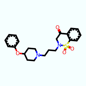 O=C1CN(CCCN2CCC(Oc3ccccc3)CC2)S(=O)(=O)c2ccccc21